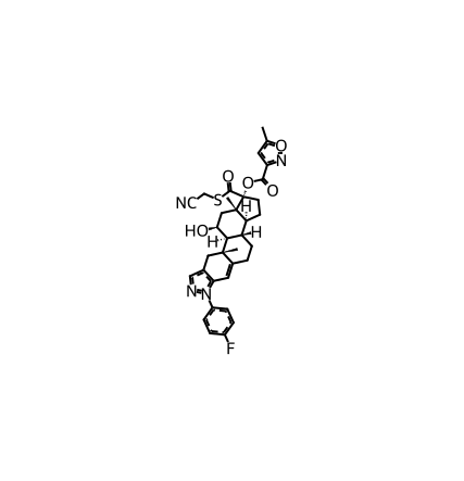 Cc1cc(C(=O)O[C@]2(C(=O)SCC#N)CC[C@H]3[C@@H]4CCC5=Cc6c(cnn6-c6ccc(F)cc6)C[C@]5(C)[C@H]4[C@@H](O)C[C@@]32C)no1